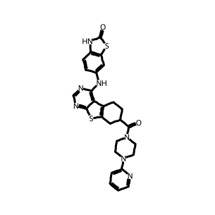 O=C(C1CCc2c(sc3ncnc(Nc4ccc5[nH]c(=O)sc5c4)c23)C1)N1CCN(c2ccccn2)CC1